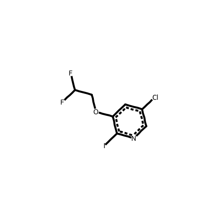 FC(F)COc1cc(Cl)cnc1I